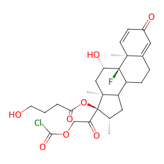 C[C@H]1CC2C3CCC4=CC(=O)C=C[C@]4(C)[C@@]3(F)[C@@H](O)C[C@]2(C)[C@@]1(OC(=O)CCCO)C(=O)COC(=O)Cl